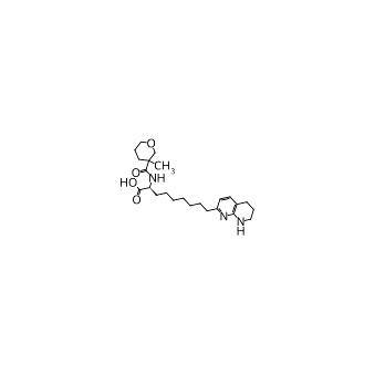 CC1(C(=O)N[C@@H](CCCCCCCc2ccc3c(n2)NCCC3)C(=O)O)CCCOC1